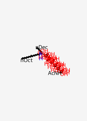 CCCCCCCC/C=C\CCCCCCCCCCCCCCCC(=O)N[C@@H](CO[C@@H]1OC(CO)[C@@H](O[C@@H]2OC(CO)[C@H](O[C@@H]3OC(CO)[C@H](O)[C@H](O[C@H]4OC(CO)[C@H](O)[C@H](O[C@H]5OC(CO)[C@H](O)[C@H](O[C@@H]6OC(CO)[C@H](O)[C@H](O)C6NC(C)=O)C5O)C4O)C3O)[C@H](O)C2O)[C@H](O)C1O)[C@H](O)/C=C/CCCCCCCCCCCCC